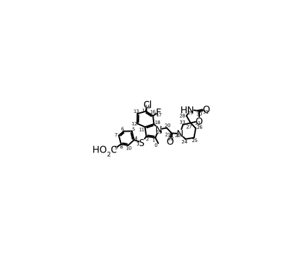 Cc1c(Sc2cccc(C(=O)O)c2)c2ccc(Cl)c(F)c2n1CC(=O)N1CCCC2(CNC(=O)O2)C1